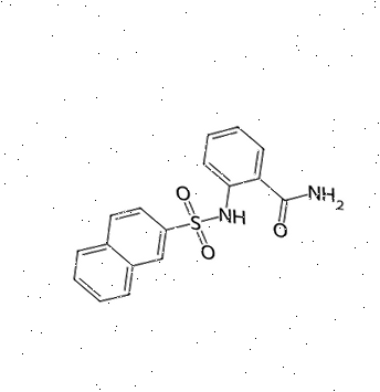 NC(=O)c1ccccc1NS(=O)(=O)c1ccc2ccccc2c1